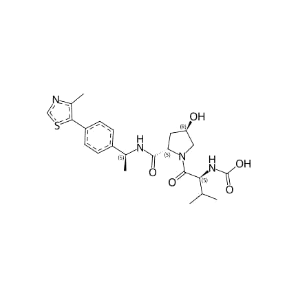 Cc1ncsc1-c1ccc([C@H](C)NC(=O)[C@@H]2C[C@@H](O)CN2C(=O)[C@@H](NC(=O)O)C(C)C)cc1